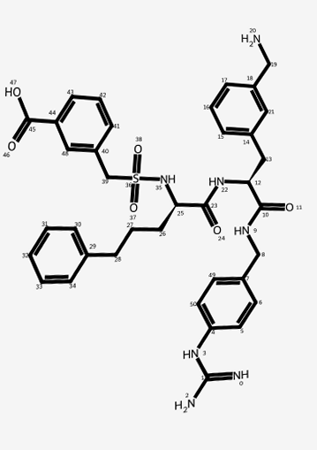 N=C(N)Nc1ccc(CNC(=O)[C@H](Cc2cccc(CN)c2)NC(=O)[C@@H](CCCc2ccccc2)NS(=O)(=O)Cc2cccc(C(=O)O)c2)cc1